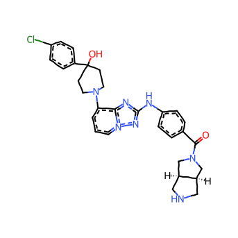 O=C(c1ccc(Nc2nc3c(N4CCC(O)(c5ccc(Cl)cc5)CC4)cccn3n2)cc1)N1C[C@H]2CNC[C@H]2C1